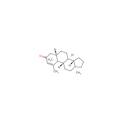 CC1=CC(=O)C[C@@H]2CC[C@H]3[C@@H]4CCC[C@@]4(C)CC[C@@H]3[C@@]12C